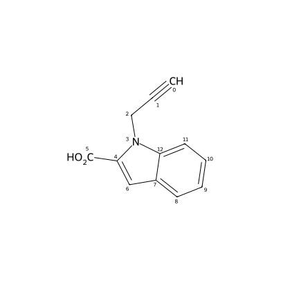 C#CCn1c(C(=O)O)cc2ccccc21